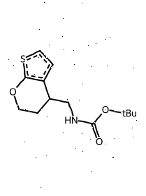 CC(C)(C)OC(=O)NCC1CCOc2sccc21